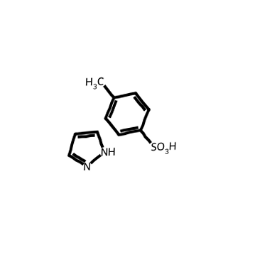 Cc1ccc(S(=O)(=O)O)cc1.c1cn[nH]c1